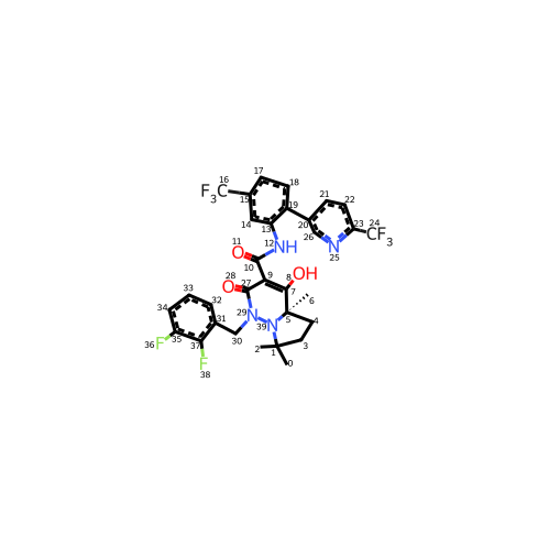 CC1(C)CC[C@]2(C)C(O)=C(C(=O)Nc3cc(C(F)(F)F)ccc3-c3ccc(C(F)(F)F)nc3)C(=O)N(Cc3cccc(F)c3F)N12